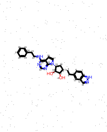 O[C@@H]1[C@@H](CCc2ccc3[nH]ncc3c2)C[C@@H](n2ccc3c(NCCc4ccccc4)ncnc32)[C@@H]1O